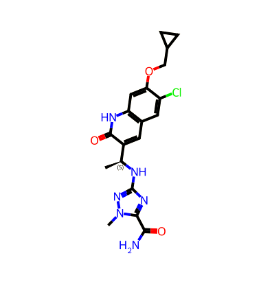 C[C@H](Nc1nc(C(N)=O)n(C)n1)c1cc2cc(Cl)c(OCC3CC3)cc2[nH]c1=O